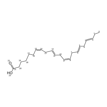 CC/C=C/C/C=C/C/C=C\C/C=C/C/C=C\CCCCCC(=O)O